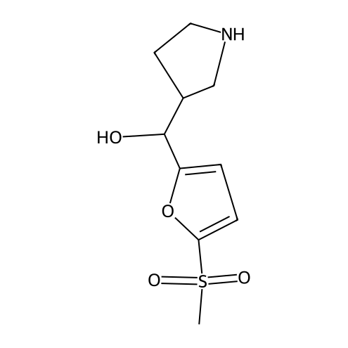 CS(=O)(=O)c1ccc(C(O)C2CCNC2)o1